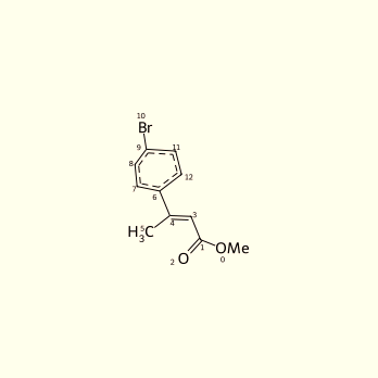 COC(=O)C=C(C)c1ccc(Br)cc1